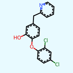 Oc1cc(Cc2ccccn2)ccc1Oc1ccc(Cl)cc1Cl